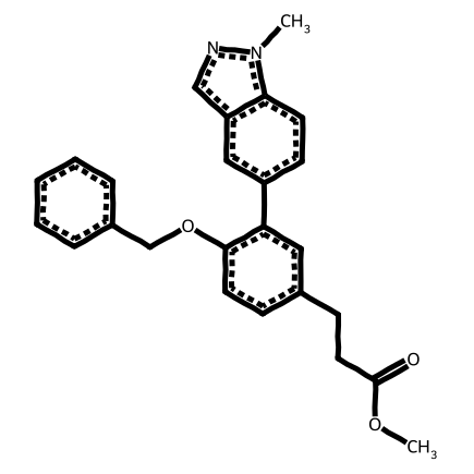 COC(=O)CCc1ccc(OCc2ccccc2)c(-c2ccc3c(cnn3C)c2)c1